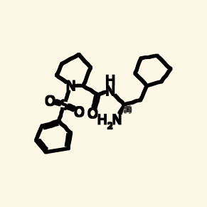 N[C@H](CC1CCCCC1)NC(=O)C1CCCCN1S(=O)(=O)c1ccccc1